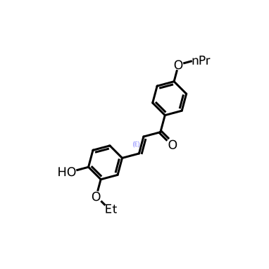 CCCOc1ccc(C(=O)/C=C/c2ccc(O)c(OCC)c2)cc1